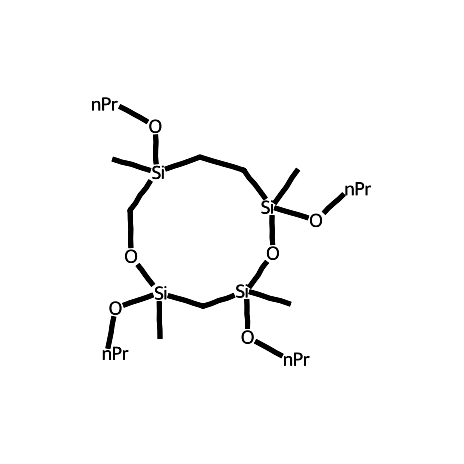 CCCO[Si]1(C)CC[Si](C)(OCCC)O[Si](C)(OCCC)C[Si](C)(OCCC)OC1